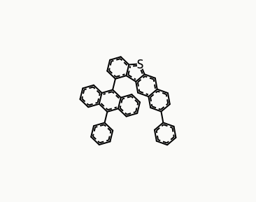 c1ccc(-c2ccc3cc4sc5cccc(-c6c7ccccc7c(-c7ccccc7)c7ccccc67)c5c4cc3c2)cc1